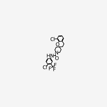 O=C(Nc1ccc(Cl)c(C(F)(F)F)c1)N1CCC2(CCc3cccc(Cl)c3O2)CC1